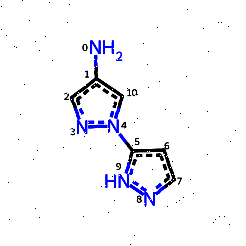 Nc1cnn(-c2ccn[nH]2)c1